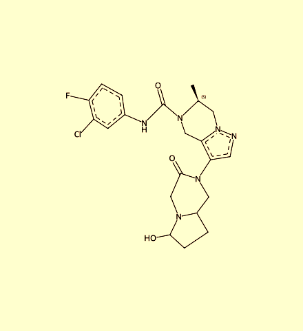 C[C@H]1Cn2ncc(N3CC4CCC(O)N4CC3=O)c2CN1C(=O)Nc1ccc(F)c(Cl)c1